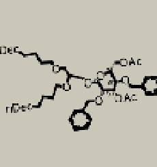 CCCCCCCCCCCCCCOCC(CO[C@H]1O[C@H](COC(C)=O)[C@@H](OCc2ccccc2)[C@H](OC(C)=O)[C@@H]1OCc1ccccc1)OCCCCCCCCCCCCCC